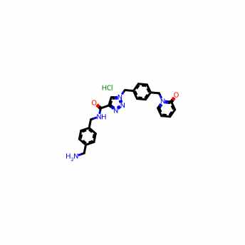 Cl.NCc1ccc(CNC(=O)c2cn(Cc3ccc(Cn4ccccc4=O)cc3)nn2)cc1